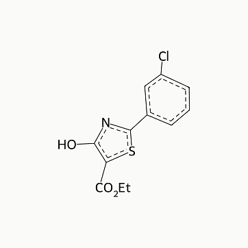 CCOC(=O)c1sc(-c2cccc(Cl)c2)nc1O